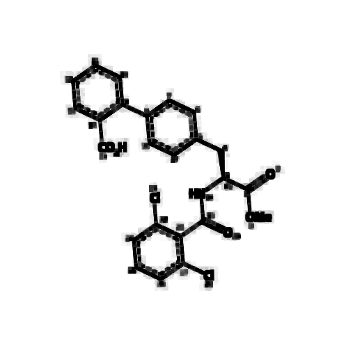 COC(=O)[C@H](Cc1ccc(-c2ccccc2C(=O)O)cc1)NC(=O)c1c(Cl)cccc1Cl